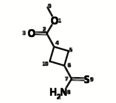 COC(=O)C1CC(C(N)=S)C1